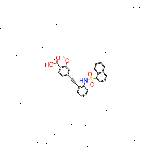 COc1cc(C#Cc2ccccc2NS(=O)(=O)c2cccc3ccccc23)ccc1C(=O)O